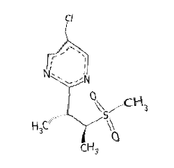 C[C@H](c1ncc(Cl)cn1)[C@H](C)S(C)(=O)=O